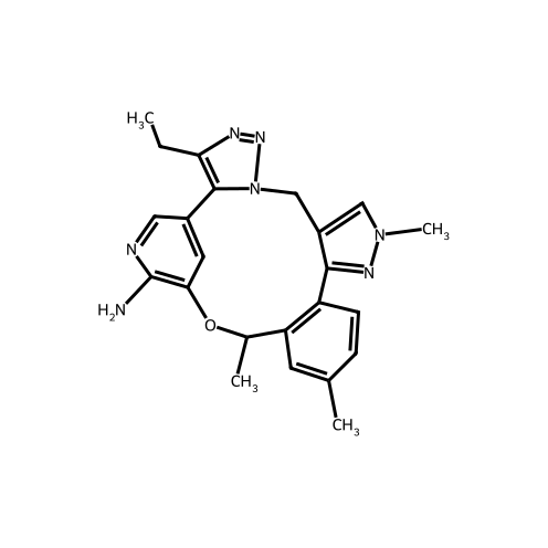 CCc1nnn2c1-c1cnc(N)c(c1)OC(C)c1cc(C)ccc1-c1nn(C)cc1C2